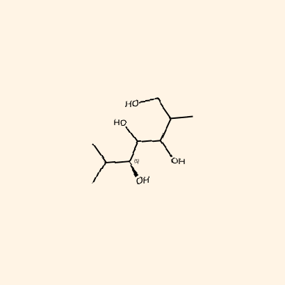 CC(CO)C(O)C(O)[C@@H](O)C(C)C